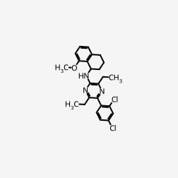 CCc1nc(-c2ccc(Cl)cc2Cl)c(CC)nc1NC1CCCc2cccc(OC)c21